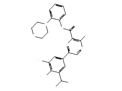 COc1cc(-c2cnc(N)c(C(=O)Nc3ccccc3N3CCNCC3)n2)cc(C(C)O)c1OC